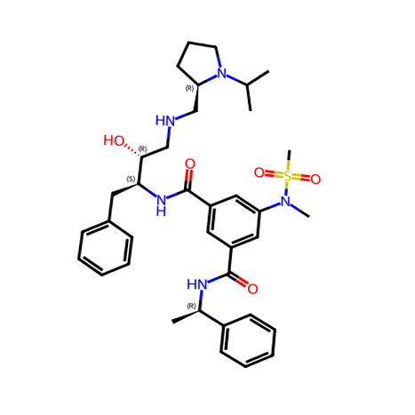 CC(C)N1CCC[C@@H]1CNC[C@@H](O)[C@H](Cc1ccccc1)NC(=O)c1cc(C(=O)N[C@H](C)c2ccccc2)cc(N(C)S(C)(=O)=O)c1